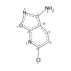 Nc1noc2nc(Cl)ccc12